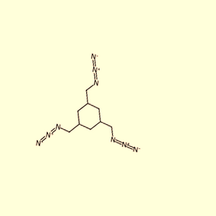 [N-]=[N+]=NCC1CC(CN=[N+]=[N-])CC(CN=[N+]=[N-])C1